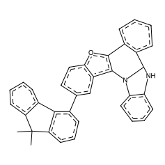 CC1(C)c2ccccc2-c2c(-c3ccc4oc5c(c4c3)N3c4ccccc4NC3c3ccccc3-5)cccc21